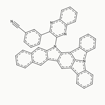 N#Cc1cccc(-c2nc3ccccc3nc2-n2c3cc4ccccc4cc3c3cc4c5ccccc5n5c6ccccc6c(c32)c45)c1